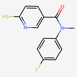 CN(C(=O)c1ccc(S)nc1)c1ccc(F)cc1